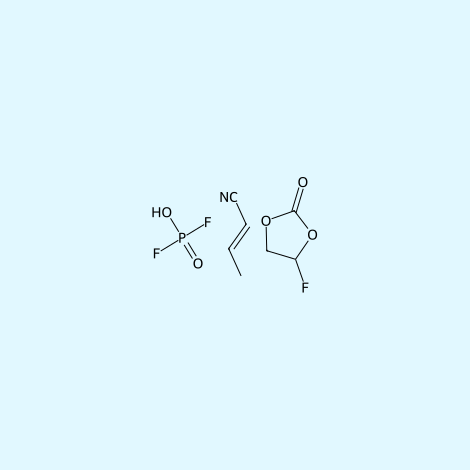 CC=CC#N.O=C1OCC(F)O1.O=P(O)(F)F